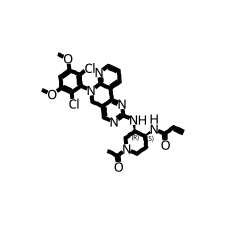 C=CC(=O)N[C@H]1CCN(C(C)=O)C[C@H]1Nc1ncc2c(n1)-c1cccnc1N(c1c(Cl)c(OC)cc(OC)c1Cl)C2